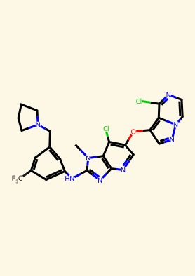 Cn1c(Nc2cc(CN3CCCC3)cc(C(F)(F)F)c2)nc2ncc(Oc3cnn4ccnc(Cl)c34)c(Cl)c21